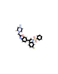 O=S(=O)(c1ccccc1)n1cc(-c2ccc3nc(CN4CCNCC4)oc3c2)c2ccc(F)cc21